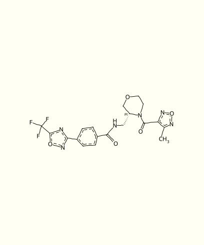 Cc1nonc1C(=O)N1CCOC[C@H]1CNC(=O)c1ccc(-c2noc(C(F)(F)F)n2)cc1